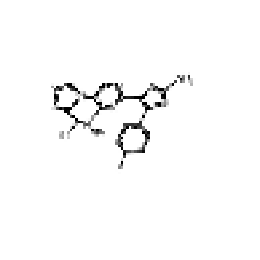 CCC1c2nncn2-c2cnc(-c3sc(N)nc3-c3ccc(F)cc3)nc2N1C(C)C